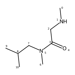 CNCC(=O)N(C)CC(C)C